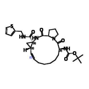 CC(C)(C)OC(=O)N[C@H]1CCCCC/C=C\[C@@H]2C[C@@]2(C(=O)NCc2cccs2)NC(=O)C2CCCN2C1=O